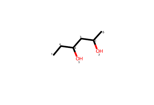 [CH2]C(O)CC(O)CC